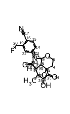 C[C@]12O[C@@]3(CCO[C@H]4[C@@H]3[C@@H]1C(=O)N4c1ccc(C#N)c(CF)c1)C(=O)[C@H]2O